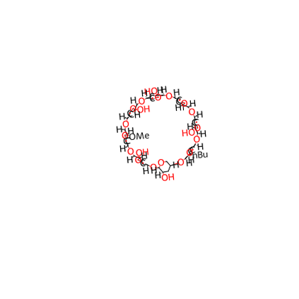 CCCC[C@@H]1C[C@H]2CO[C@@H]1O[C@@H]1CO[C@H](O[C@@H]3CO[C@H](O[C@@H]4CO[C@H](O[C@@H]5CO[C@H](O[C@@H]6CO[C@H](O[C@@H]7CO[C@H](O[C@@H]8CO[C@H](O2)[C@H](O)C8)[C@H](C)C7)[C@H](O)C6)[C@H](O)C5)[C@H](OC)C4)[C@H](O)C3)[C@H](O)C1